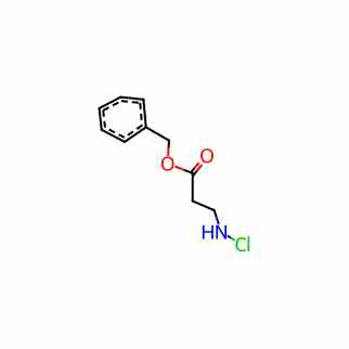 O=C(CCNCl)OCc1ccccc1